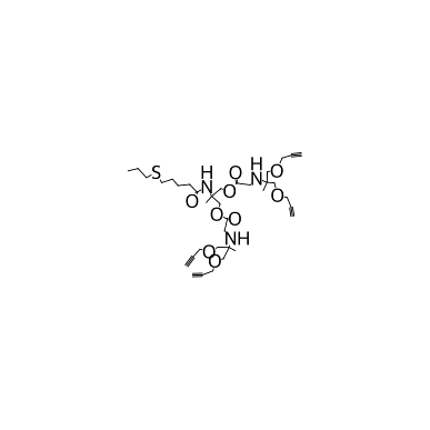 C#CCOCC(C)(COCC#C)NCC(=O)OCC(C)(COC(=O)CNC(C)(COCC#C)COCC#C)NC(=O)CCCCSCCC